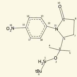 CC(C)(C)[SiH2]OC(C)(C)C1CCC(=O)N1c1ccc([N+](=O)[O-])cc1